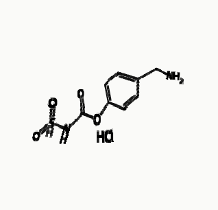 Cl.NCc1ccc(OC(=O)N[SH](=O)=O)cc1